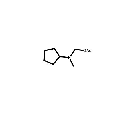 CC(=O)OCN(C)C1CCCC1